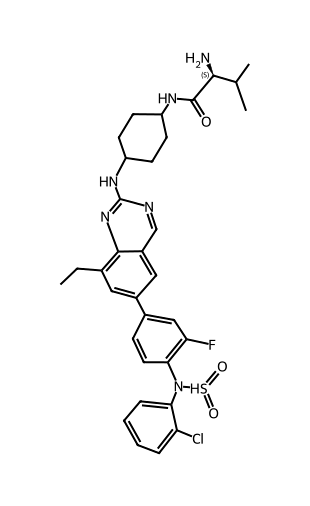 CCc1cc(-c2ccc(N(c3ccccc3Cl)[SH](=O)=O)c(F)c2)cc2cnc(NC3CCC(NC(=O)[C@@H](N)C(C)C)CC3)nc12